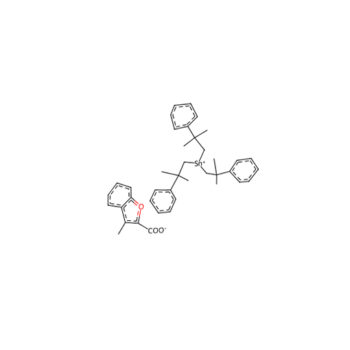 CC(C)([CH2][Sn+]([CH2]C(C)(C)c1ccccc1)[CH2]C(C)(C)c1ccccc1)c1ccccc1.Cc1c(C(=O)[O-])oc2ccccc12